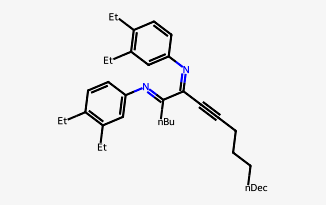 CCCCCCCCCCCCCC#CC(=Nc1ccc(CC)c(CC)c1)C(CCCC)=Nc1ccc(CC)c(CC)c1